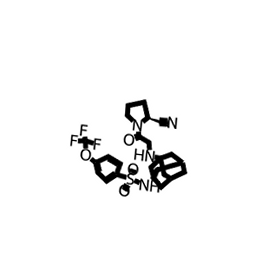 N#C[C@@H]1CCCN1C(=O)CNC12CC3CC(C1)CC(NS(=O)(=O)c1ccc(OC(F)(F)F)cc1)(C3)C2